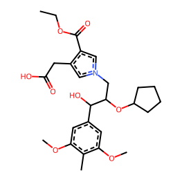 CCOC(=O)c1cn(CC(OC2CCCC2)C(O)c2cc(OC)c(C)c(OC)c2)cc1CC(=O)O